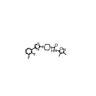 Cc1noc(NC(=O)N2CCN(c3nc(-c4cccc(F)c4F)cs3)CC2)c1C